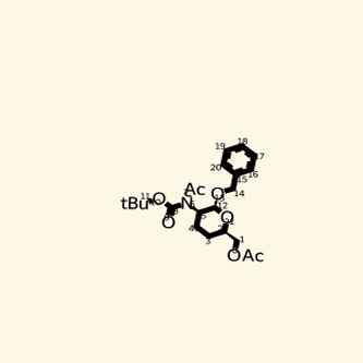 CC(=O)OC[C@H]1[CH][CH][C@@H](N(C(C)=O)C(=O)OC(C)(C)C)[C@H](OCc2ccccc2)O1